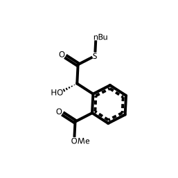 CCCCSC(=O)[C@@H](O)c1ccccc1C(=O)OC